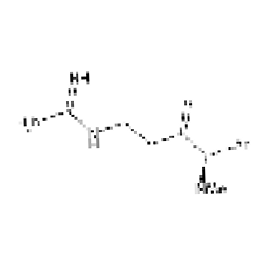 C=C(CCNC(=N)N)[C@H](NC)C(C)=O